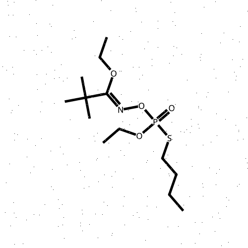 CCCCSP(=O)(OCC)ON=C(OCC)C(C)(C)C